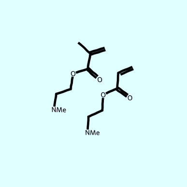 C=C(C)C(=O)OCCNC.C=CC(=O)OCCNC